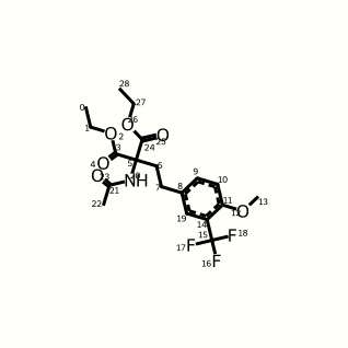 CCOC(=O)C(CCc1ccc(OC)c(C(F)(F)F)c1)(NC(C)=O)C(=O)OCC